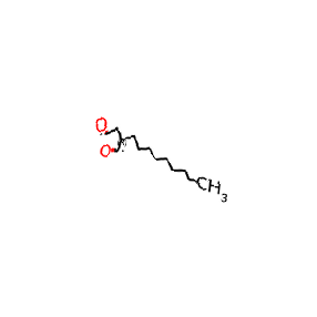 CCCCCCCCC[C@@H]([C]=O)C[C]=O